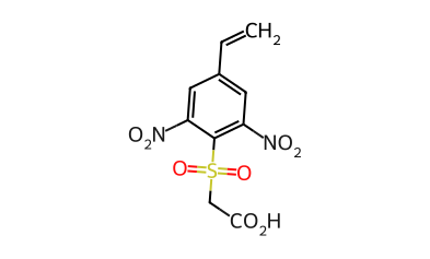 C=Cc1cc([N+](=O)[O-])c(S(=O)(=O)CC(=O)O)c([N+](=O)[O-])c1